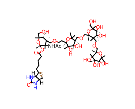 CC(=O)NC1(C)[C@](C)(OC(=O)CCCCC2SC[C@@H]3NC(=O)N[C@H]23)OC(C)(CO)[C@H](C)[C@@]1(C)COCC[C@@]1(C)OC(C)(C)[C@@](C)(COC[C@]2(C)OC(C)(CO)[C@@](C)(O)[C@@](C)(O)C2(C)COC[C@]2(C)OC(C)(C)[C@@](C)(O)[C@](C)(O)C2(C)O)[C@](C)(O)C1(C)O